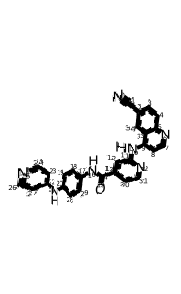 N#Cc1ccc2nccc(Nc3cc(C(=O)Nc4ccc(Nc5ccncc5)cc4)ccn3)c2c1